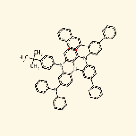 CC(C)(C)c1ccc(N2c3cc(N(c4ccccc4)c4ccccc4)ccc3B3c4cc(-c5ccccc5)ccc4N(c4ccc(-c5ccccc5)cc4-c4ccc5ccccc5c4)c4cccc2c43)cc1